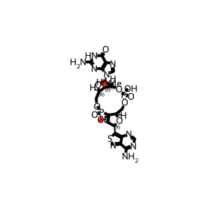 CO[C@H]1[C@H]2OP(=O)(O)OC[C@H]3O[C@@H](c4snc5c(N)ncnc45)C[C@@H]3P(=O)(O)OC[C@H]1O[C@H]2n1cnc2c(=O)[nH]c(N)nc21